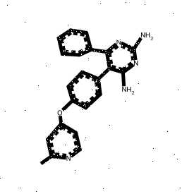 Cc1cc(Oc2ccc(-c3c(N)nc(N)nc3-c3ccccc3)cc2)ccn1